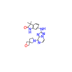 CC1(C)C(=O)Nc2cc(Nc3nc4c(N5CCC6(COC6)C5)nccn4n3)ccc21